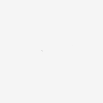 CCc1cncn1CCCNCc1ccccc1